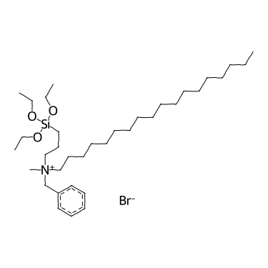 CCCCCCCCCCCCCCCCCC[N+](C)(CCC[Si](OCC)(OCC)OCC)Cc1ccccc1.[Br-]